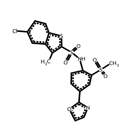 Cc1c(S(=O)(=O)Nc2ccc(-c3ncco3)cc2S(C)(=O)=O)sc2ccc(Cl)cc12